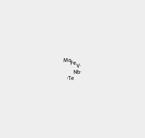 [Fe].[Mo].[Nb].[Te].[V]